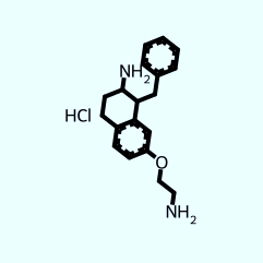 Cl.NCCOc1ccc2c(c1)C(Cc1ccccc1)C(N)CC2